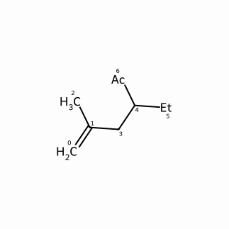 C=C(C)CC(CC)C(C)=O